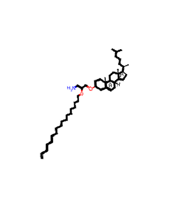 CCCCCCCCCCCCCCCCCCOC(CN)CO[C@H]1CC[C@@]2(C)C(=CC[C@H]3[C@@H]4CC[C@H]([C@H](C)CCCC(C)C)[C@@]4(C)CC[C@@H]32)C1